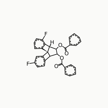 O=C(OC1C(OC(=O)c2ccccc2)[C@H]2c3c(F)cccc3[C@@]23c2cc(F)ccc2C13)c1ccccc1